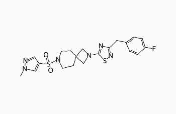 Cn1cc(S(=O)(=O)N2CCC3(CC2)CN(c2nc(Cc4ccc(F)cc4)ns2)C3)cn1